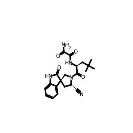 CC(C)(C)C[C@H](NC(=O)C(N)=O)C(=O)N1C[C@]2(C[C@H]1C#N)C(=O)Nc1ccccc12